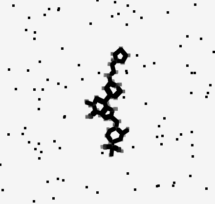 CC1CN(S(C)(=O)=O)CCN1Cc1cc2c(=O)n(C)cc(-c3ccnc(OCCN4CCCC4)c3)c2s1